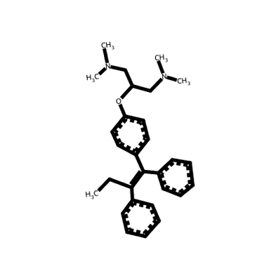 CCC(=C(c1ccccc1)c1ccc(OC(CN(C)C)CN(C)C)cc1)c1ccccc1